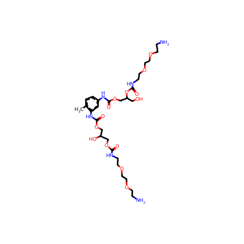 Cc1ccc(NC(=O)OCC(CO)OC(=O)NCCOCCOCCN)cc1NC(=O)OCC(O)COC(=O)NCCOCCOCCN